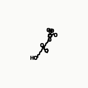 O=Cc1cc(OCCCCC(=O)N(CCCCCCO)C2CCCC2)ccc1[N+](=O)[O-]